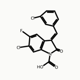 O=C(O)N1C(=O)/C(=C/c2cccc(Cl)c2)c2cc(F)c(Cl)cc21